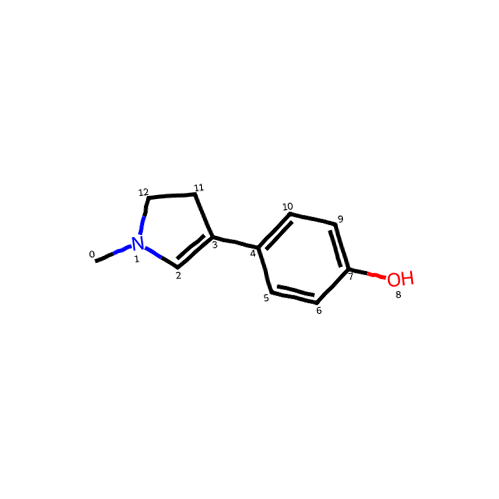 CN1C=C(c2ccc(O)cc2)CC1